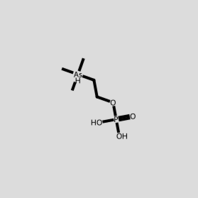 C[AsH](C)(C)CCOP(=O)(O)O